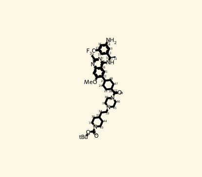 COc1cc2nc(C)nc(N[C@H](C)c3cc(N)cc(C(F)(F)F)c3)c2cc1C1CCC(C(=O)N2CCN(CCC3CCN(C(=O)OC(C)(C)C)CC3)CC2)CC1